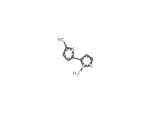 Cn1nccc1-c1ccc(C#N)s1